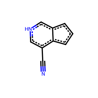 N#Cc1c[nH]cc2cccc1-2